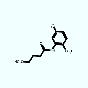 O=C(O)CCCC(=O)Nc1cc(C(F)(F)F)ccc1C(=O)O